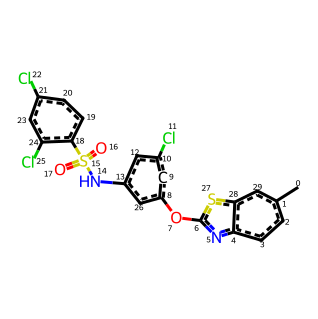 Cc1ccc2nc(Oc3cc(Cl)cc(NS(=O)(=O)c4ccc(Cl)cc4Cl)c3)sc2c1